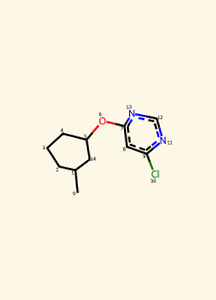 CC1CCCC(Oc2cc(Cl)ncn2)C1